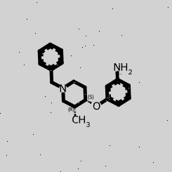 C[C@@H]1CN(Cc2ccccc2)CC[C@@H]1Oc1cccc(N)c1